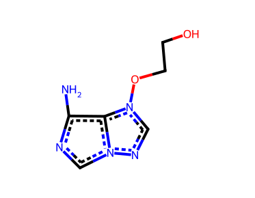 Nc1ncn2ncn(OCCO)c12